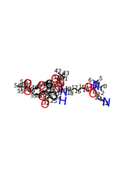 CC(C)N(C(C)C)P(OCCC#N)OCCCCCCNC(=O)c1ccc2c(c1)C1(OC2=O)c2ccc(OC(=O)C(C)(C)C)cc2OC2=CC(OC(=O)C(C)(C)C)C=CC21